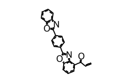 C=CC(=O)c1cccc2oc(-c3ccc(-c4nc5ccccc5o4)cc3)nc12